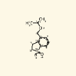 CC(C)OCc1cccc2c1CCS2(=O)=O